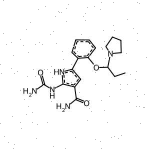 CCC(Oc1ccccc1-c1cc(C(N)=O)c(NC(N)=O)[nH]1)N1CCCC1